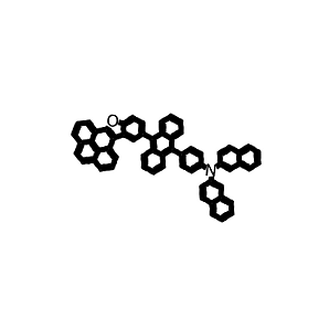 c1ccc2cc(N(c3ccc(-c4c5ccccc5c(-c5ccc6oc7c8cccc9ccc%10cccc(c7c6c5)c%10c98)c5ccccc45)cc3)c3ccc4ccccc4c3)ccc2c1